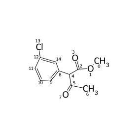 COC(=O)C(C(C)=O)c1cccc(Cl)c1